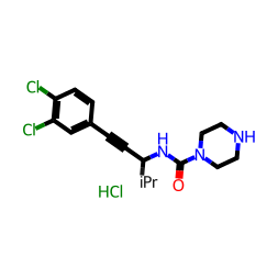 CC(C)C(C#Cc1ccc(Cl)c(Cl)c1)NC(=O)N1CCNCC1.Cl